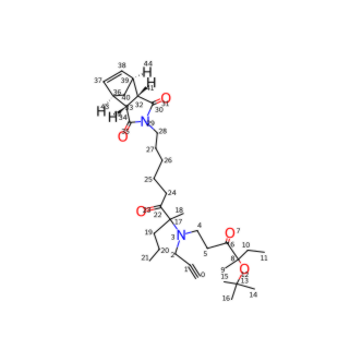 C#CCN(CCC(=O)C(C)(CC)OC(C)(C)C)C(C)(CCC)C(=O)CCCCCN1C(=O)[C@@H]2[C@H](C1=O)[C@H]1C=C[C@@H]2C1